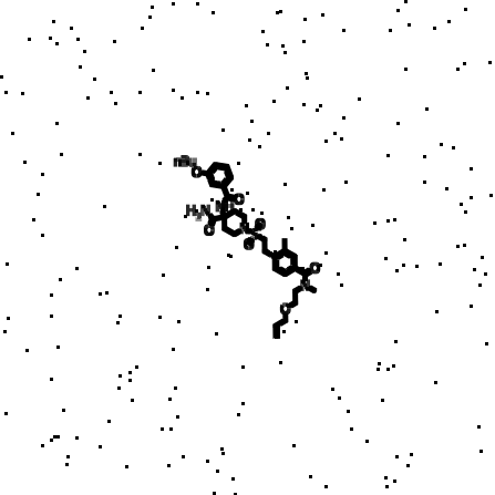 C=CCOCCN(C)C(=O)c1ccc(CCS(=O)(=O)N2CCC(NC(=O)c3cccc(OCCCC)c3)(C(N)=O)CC2)c(C)c1